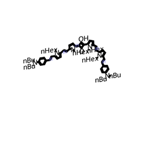 CCCCCCN1/C(=C2\C(=O)C(c3ccc(/C=C/c4ccc(/C=C/c5ccc(N(CCCC)CCCC)cc5)n4CCCCCC)n3CCCCCC)=C2O)C=CC1/C=C/c1ccc(/C=C/c2ccc(N(CCCC)CCCC)cc2)n1CCCCCC